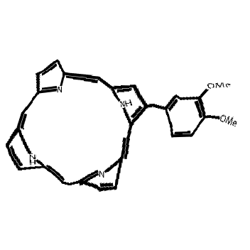 COc1ccc(-c2cc3cc4nc(cc5ccc(cc6nc(cc2[nH]3)C=C6)[nH]5)C=C4)cc1OC